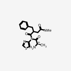 CNC(=O)CC(Cc1ccccc1)C(=O)N(C(=O)[C@@H](C)N)c1cscn1